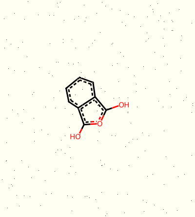 Oc1oc(O)c2ccccc12